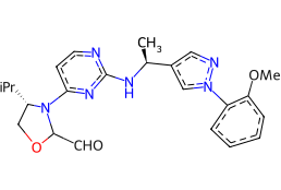 COc1ccccc1-n1cc([C@H](C)Nc2nccc(N3C(C=O)OC[C@@H]3C(C)C)n2)cn1